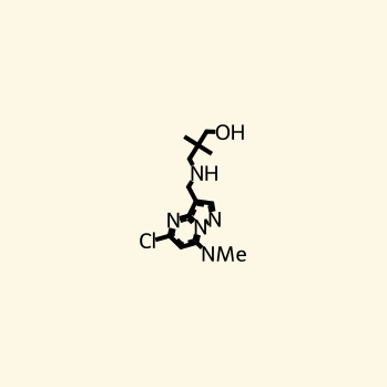 CNc1cc(Cl)nc2c(CNCC(C)(C)CO)cnn12